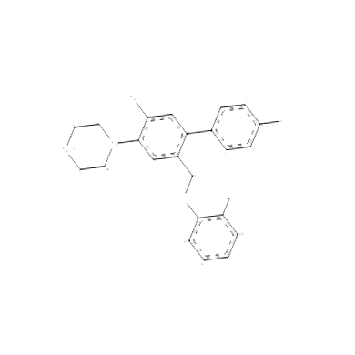 Nc1cc(-c2ccc(O)cc2)c(COc2ccccc2C(F)(F)F)cc1N1CCNCC1